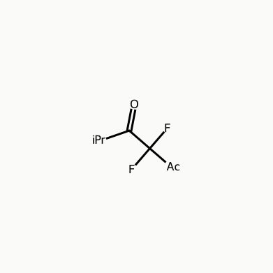 CC(=O)C(F)(F)C(=O)C(C)C